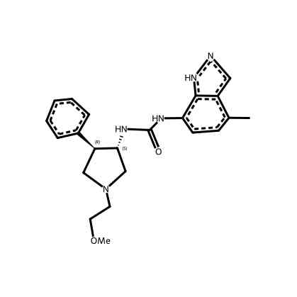 COCCN1C[C@@H](NC(=O)Nc2ccc(C)c3cn[nH]c23)[C@H](c2ccccc2)C1